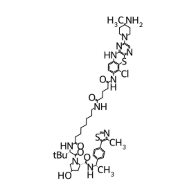 Cc1ncsc1-c1ccc([C@H](C)NC(=O)[C@@H]2C[C@@H](O)CN2C(=O)[C@@H](NC(=O)CCCCCCCNC(=O)CCCC(=O)Nc2ccc3c(c2Cl)Sc2ncc(N4CCC(C)(N)CC4)nc2N3)C(C)(C)C)cc1